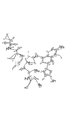 C=C[C@@H]1C[C@]1(NC(=O)[C@@H]1[C@H](C)[C@@H](Oc2cc(-c3nc(C(C)C)cs3)nc3c(C)c(OC)ccc23)CN1C(=O)C(NC(=O)OC(C)(C)C)C(C)(C)C)C(=O)NS(=O)(=O)C1(C)CC1